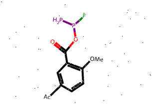 COc1ccc(C(C)=O)cc1C(=O)OP(F)P